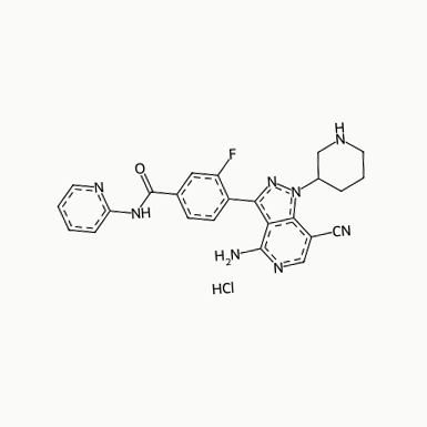 Cl.N#Cc1cnc(N)c2c(-c3ccc(C(=O)Nc4ccccn4)cc3F)nn(C3CCCNC3)c12